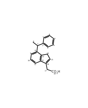 CC(c1ccccc1)c1cccc2c1CC=C2CC(=O)O